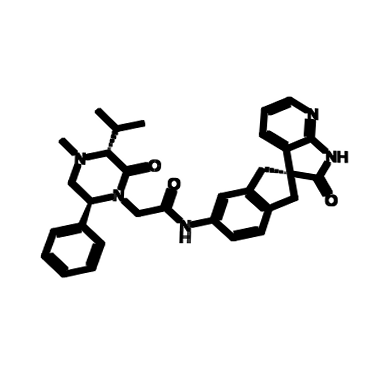 CC(C)[C@@H]1C(=O)N(CC(=O)Nc2ccc3c(c2)C[C@@]2(C3)C(=O)Nc3ncccc32)[C@@H](c2ccccc2)CN1C